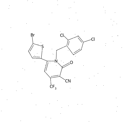 N#Cc1c(C(F)(F)F)cc(-c2ccc(Br)s2)n(Cc2ccc(Cl)cc2Cl)c1=O